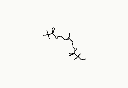 CCC(C)(C)C(=O)OCCN(C)CCOC(=O)C(C)(C)C